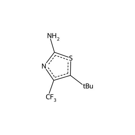 CC(C)(C)c1sc(N)nc1C(F)(F)F